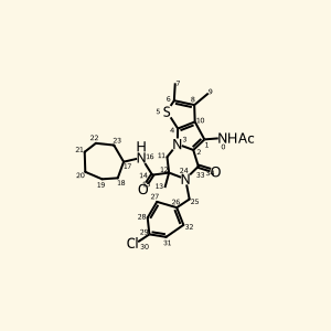 CC(=O)Nc1c2n(c3sc(C)c(C)c13)CC(C)(C(=O)NC1CCCCCC1)N(Cc1ccc(Cl)cc1)C2=O